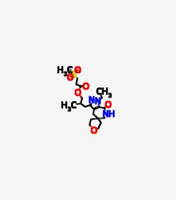 CCn1nc(CC(C)COC(=O)CCS(C)(=O)=O)c2c1C(=O)NCC1(CCOCC1)C2